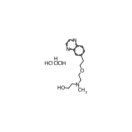 CN(CCO)CCOCCc1ccc2nccnc2c1.Cl.Cl.Cl